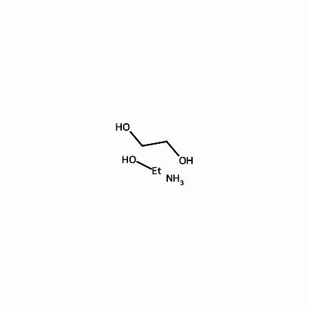 CCO.N.OCCO